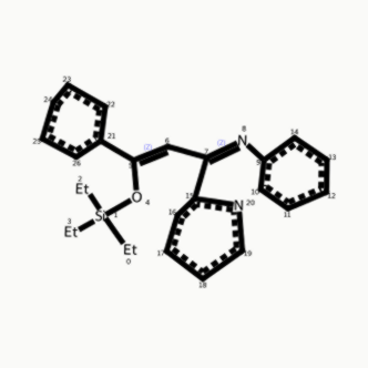 CC[Si](CC)(CC)O/C(=C\C(=N\c1ccccc1)c1ccccn1)c1ccccc1